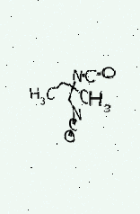 CCC(C)(CN=C=O)N=C=O